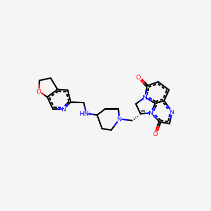 O=c1ccc2ncc(=O)n3c2n1C[C@H]3CN1CCC(NCc2cc3c(cn2)OCC3)CC1